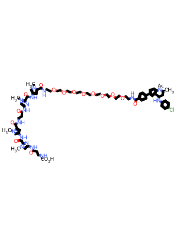 CC(=O)N1c2ccc(-c3ccc(C(=O)NCCOCCOCCOCCOCCOCCOCCOCCOCCNC(=O)c4cc(NC(=O)c5nc(NC(=O)CCNC(=O)c6cc(NC(=O)c7nc(NC(=O)CCNC(=O)O)cn7C)cn6C)cn5C)cn4C)cc3)cc2[C@H](Nc2ccc(Cl)cc2)C[C@@H]1C